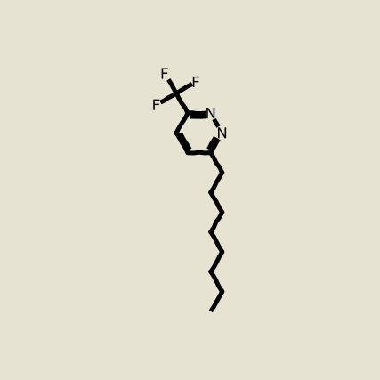 CCCCCCCCc1ccc(C(F)(F)F)nn1